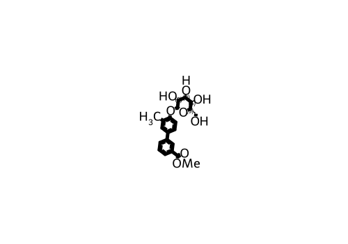 COC(=O)c1cccc(-c2ccc(OC3O[C@@H](CO)[C@@H](O)[C@@H](O)[C@@H]3O)c(C)c2)c1